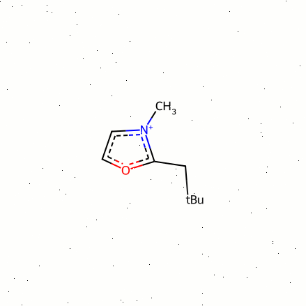 C[n+]1ccoc1CC(C)(C)C